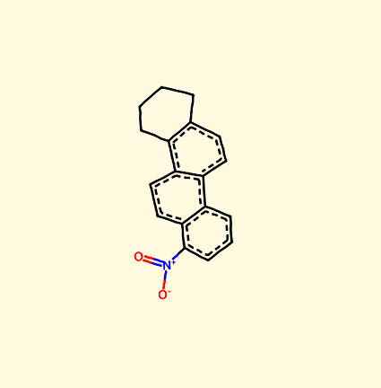 O=[N+]([O-])c1cccc2c1ccc1c3c(ccc12)CCCC3